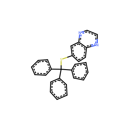 c1ccc(C(Sc2ccc3nccnc3c2)(c2ccccc2)c2ccccc2)cc1